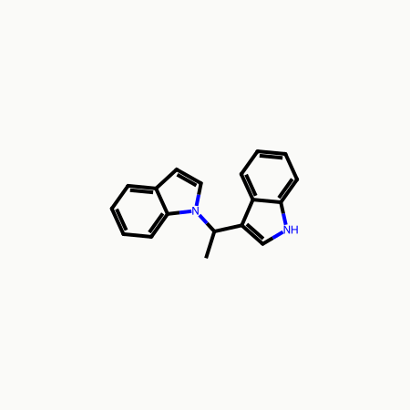 CC(c1c[nH]c2ccccc12)n1ccc2ccccc21